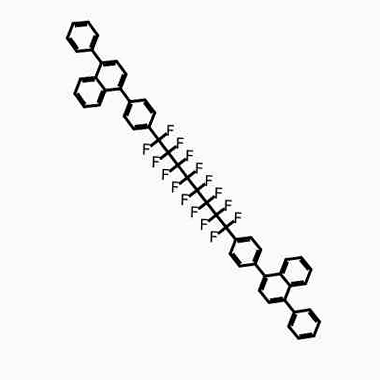 FC(F)(c1ccc(-c2ccc(-c3ccccc3)c3ccccc23)cc1)C(F)(F)C(F)(F)C(F)(F)C(F)(F)C(F)(F)C(F)(F)C(F)(F)c1ccc(-c2ccc(-c3ccccc3)c3ccccc23)cc1